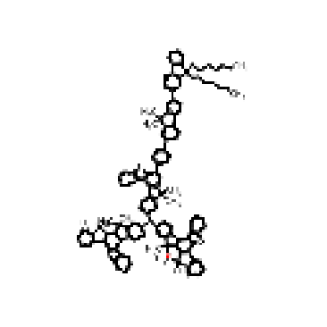 CCCCCCCC1(CCCCCCC)c2ccccc2-c2ccc(-c3ccc4c(c3)C(C)(C)c3cc(-c5ccc(-c6cc7c(c8c6oc6ccccc68)-c6ccc(N(c8ccc9c(c8)C(C)(C)c8c%10c(c%11oc%12ccccc%12c%11c8-9)-c8ccccc8C%10(C)C)c8ccc9c(c8)C(C)(C)c8c%10c(c%11oc%12ccccc%12c%11c8-9)-c8ccccc8C%10(C)C)cc6C7(C)C)cc5)ccc3-4)cc21